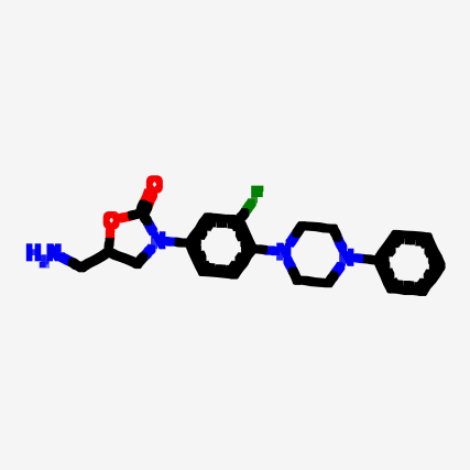 NCC1CN(c2ccc(N3CCN(c4ccccc4)CC3)c(F)c2)C(=O)O1